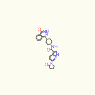 O=C(N[C@H]1CC[C@H](c2n[nH]c(=O)c3ccccc32)CC1)c1cnn2cc(N3CCCC3=O)ccc12